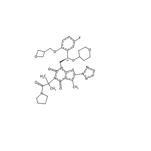 Cc1c(-n2nccn2)sc2c1c(=O)n(C(C)(C)C(=O)N1CCCC1)c(=O)n2C[C@H](OC1CCOCC1)c1cc(F)ccc1OCC1COC1